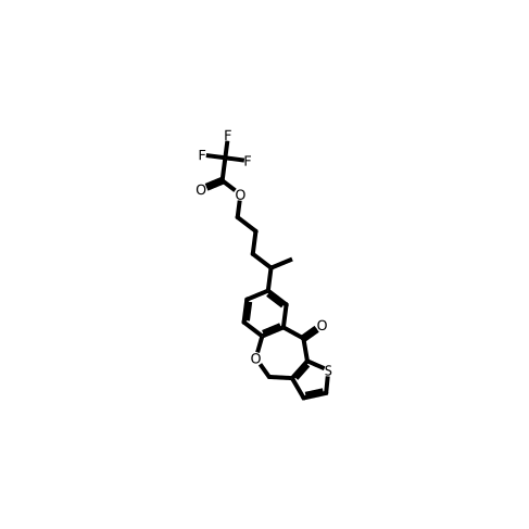 CC(CCCOC(=O)C(F)(F)F)c1ccc2c(c1)C(=O)c1sccc1CO2